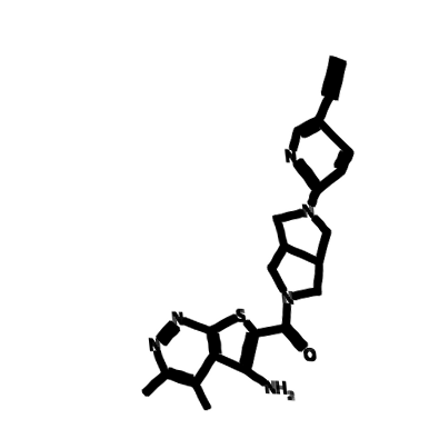 C#Cc1ccc(N2CC3CN(C(=O)c4sc5nnc(C)c(C)c5c4N)CC3C2)nc1